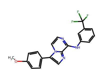 COc1ccc(-c2cnc3c(Nc4cccc(C(F)(F)F)c4)nccn23)cc1